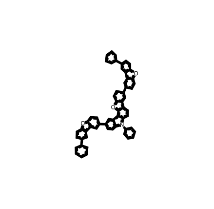 c1ccc(-c2ccc3oc4ccc(-c5ccc6oc7c(ccc8c7c7cc(-c9ccc%10oc%11ccc(-c%12ccccc%12)cc%11c%10c9)ccc7n8-c7ccccc7)c6c5)cc4c3c2)cc1